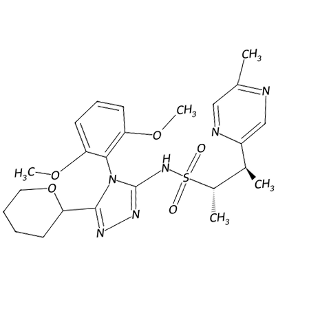 COc1cccc(OC)c1-n1c(NS(=O)(=O)[C@@H](C)[C@H](C)c2cnc(C)cn2)nnc1C1CCCCO1